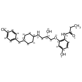 CCC(=O)Nc1ccc(O)cc1OC[C@@H](O)CNC1CCN(Cc2ccc(Cl)cc2)CC1